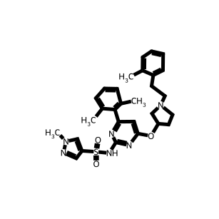 Cc1ccccc1CCN1CCC(Oc2cc(-c3c(C)cccc3C)nc(NS(=O)(=O)c3cnn(C)c3)n2)C1